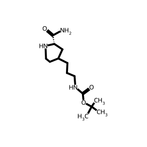 CC(C)(C)OC(=O)NCCCC1CCN[C@H](C(N)=O)C1